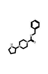 O=C(OCc1ccccc1)N1CCN(C2CCCN2)CC1